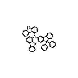 c1ccc(C2(c3ccccc3)c3ccccc3-c3cc(N(c4cccc5c4sc4ccccc45)c4cccc5oc6ccccc6c45)ccc32)cc1